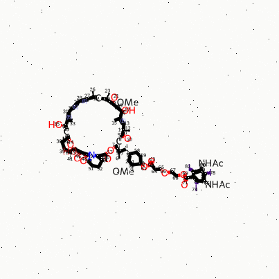 CO[C@@H]1C[C@H](C[C@@H](C)[C@@H]2CC(=O)[C@H](C)/C=C(\C)[C@@H](O)[C@@H](OC)C(=O)[C@H](C)C[C@H](C)/C=C/C=C/C=C(\C)[C@@H](O)C[C@@H]3CC[C@@H](C)[C@@](O)(O3)C(=O)C(=O)N3CCCC[C@H]3C(=O)O2)CC[C@H]1OC(=O)CCOCCOC(=O)c1c(I)c(NC(C)=O)c(I)c(NC(C)=O)c1I